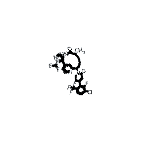 CC1CCCC(N2CCC(c3c(C(F)(F)F)ccc(Cl)c3F)=CC2=O)c2cc(ccn2)-c2c(cnn2C(F)F)NC1=O